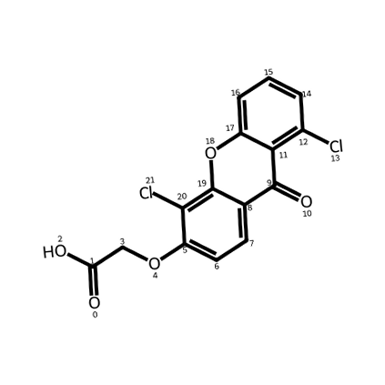 O=C(O)COc1ccc2c(=O)c3c(Cl)cccc3oc2c1Cl